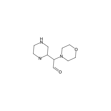 O=CC(C1CNCC[N]1)N1CCOCC1